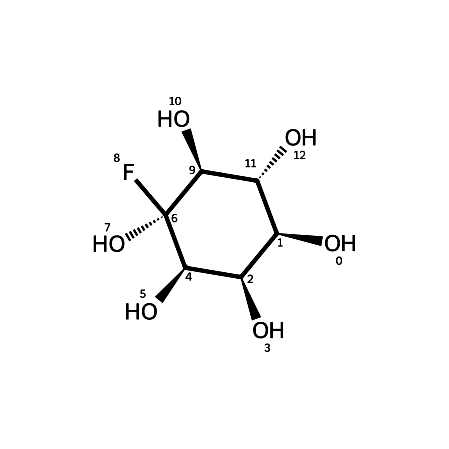 O[C@H]1[C@@H](O)[C@@H](O)[C@@](O)(F)[C@@H](O)[C@@H]1O